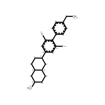 CCc1ccc(-c2c(F)cc(C3CCC4CC(C)CCC4C3)cc2F)cc1